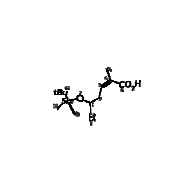 CCC(C/C=C(/C)C(=O)O)O[Si](C)(C)C(C)(C)C